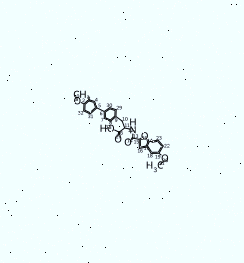 COc1ccc(-c2ccc(CC(NC(=O)c3cc4cc(OC)ccc4o3)C(=O)O)cc2)cc1